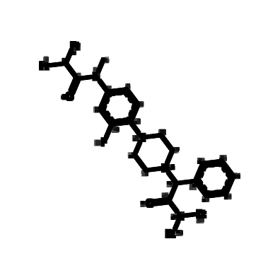 CCC(CC)C(=O)N(C)c1ccc(N2CCN(C(C(=O)N(CC)CC)c3ccccc3)CC2)c(F)c1